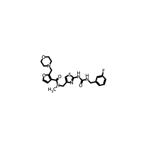 CN(Cc1csc(NC(=O)NCc2cccc(F)c2)n1)C(=O)c1ccoc1CN1CCOCC1